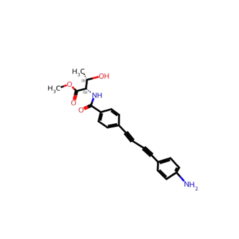 COC(=O)[C@@H](NC(=O)c1ccc(C#CC#Cc2ccc(N)cc2)cc1)[C@H](C)O